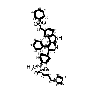 CN(c1ccc(-c2cnc3[nH]c4ccc(CS(=O)(=O)c5ccccc5)cc4c3c2-c2ccccc2)cc1)S(=O)(=O)CCCn1ccnc1